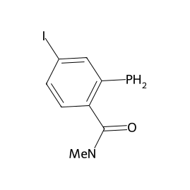 CNC(=O)c1ccc(I)cc1P